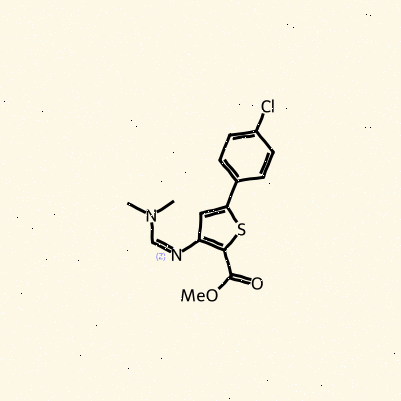 COC(=O)c1sc(-c2ccc(Cl)cc2)cc1/N=C\N(C)C